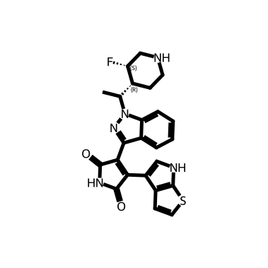 CC([C@H]1CCNC[C@H]1F)n1nc(C2=C(c3c[nH]c4sccc34)C(=O)NC2=O)c2ccccc21